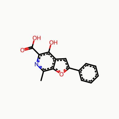 Cc1nc(C(=O)O)c(O)c2cc(-c3ccccc3)oc12